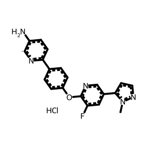 Cl.Cn1nccc1-c1cnc(Oc2ccc(-c3ccc(N)[c]n3)cc2)c(F)c1